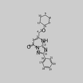 O=c1cc(COC2CCCCC2)[nH]c2nc(-c3ccccc3)nn12